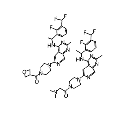 Cc1nc(NC(C)c2cccc(C(F)F)c2F)c2cc(N3CCN(C(=O)C4COC4)CC3)ncc2n1.Cc1nc(NC(C)c2cccc(C(F)F)c2F)c2cc(N3CCN(C(=O)CN(C)C)CC3)ncc2n1